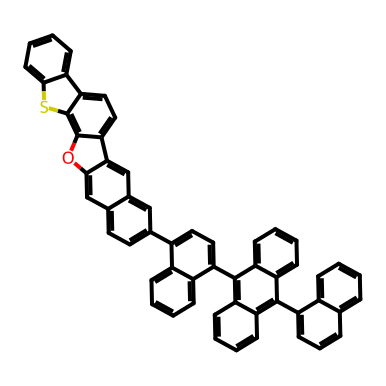 c1ccc2c(-c3c4ccccc4c(-c4ccc(-c5ccc6cc7oc8c(ccc9c%10ccccc%10sc98)c7cc6c5)c5ccccc45)c4ccccc34)cccc2c1